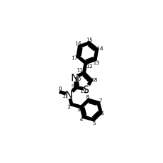 CN(Cc1ccccc1)c1nc(-c2ccccc2)cs1